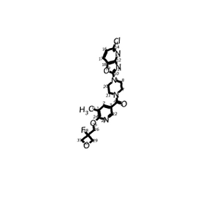 Cc1cc(C(=O)N2CCN(c3nc4nc(Cl)ccc4o3)CC2)cnc1OCC1(F)COC1